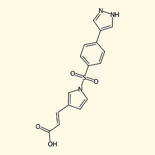 O=C(O)/C=C/c1ccn(S(=O)(=O)c2ccc(-c3cn[nH]c3)cc2)c1